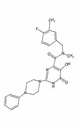 Cc1cc(CN(C)C(=O)c2nc(N3CCN(c4ccccc4)CC3)[nH]c(=O)c2O)ccc1F